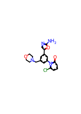 Nc1ncc(-c2cc(CN3CCOCC3)cc(-n3c(Cl)cccc3=O)c2)o1